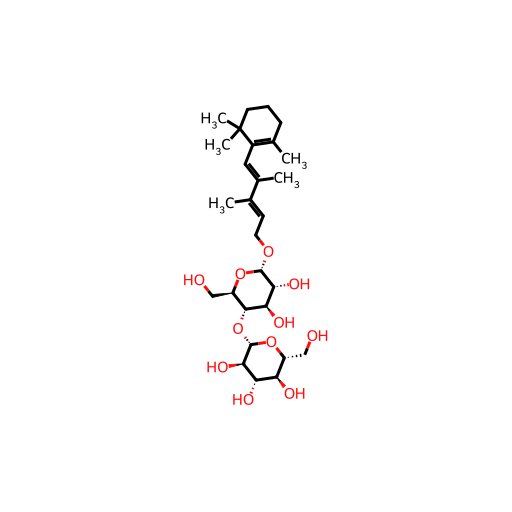 CC1=C(/C=C(C)/C(C)=C/CO[C@H]2O[C@H](CO)[C@@H](O[C@@H]3O[C@H](CO)[C@@H](O)[C@H](O)[C@H]3O)[C@H](O)[C@H]2O)C(C)(C)CCC1